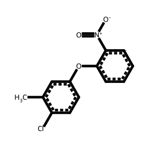 Cc1cc(Oc2ccc[c]c2[N+](=O)[O-])ccc1Cl